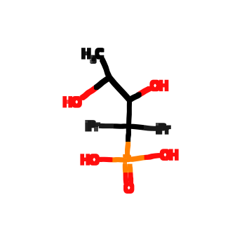 CC(O)C(O)C(C(C)C)(C(C)C)P(=O)(O)O